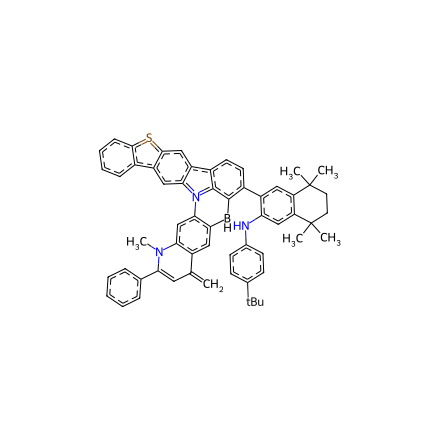 C=C1C=C(c2ccccc2)N(C)c2cc3c(cc21)Bc1c(-c2cc4c(cc2Nc2ccc(C(C)(C)C)cc2)C(C)(C)CCC4(C)C)ccc2c4cc5sc6ccccc6c5cc4n-3c12